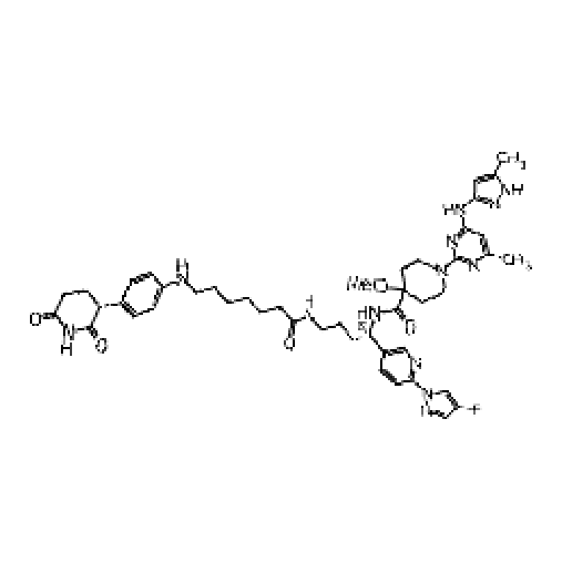 COC1(C(=O)N[C@@H](CCCNC(=O)CCCCCCNc2ccc(C3CCC(=O)NC3=O)cc2)c2ccc(-n3cc(F)cn3)nc2)CCN(c2nc(C)cc(Nc3cc(C)[nH]n3)n2)CC1